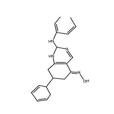 C/C=C\C(=C/C)NC1N=CC2=C(CC(C3C=CC=CC3)C/C2=N\O)N1